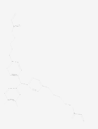 C=CC(=O)OCCCCc1ccc(N(c2ccc(CCCCOC(=O)C=C)cc2)c2ccc(C)c(C)c2)cc1